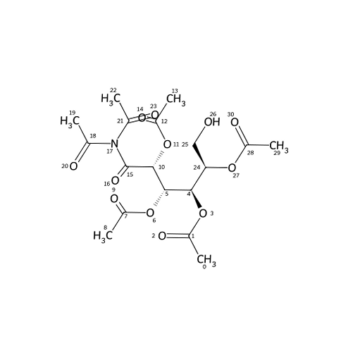 CC(=O)O[C@@H]([C@H](OC(C)=O)[C@@H](OC(C)=O)C(=O)N(C(C)=O)C(C)=O)[C@@H](CO)OC(C)=O